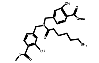 COC(=O)c1ccc(CN(Cc2ccc(C(=O)OC)c(O)c2)C(=O)CCCCCN)cc1O